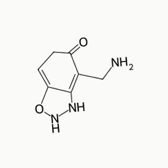 NCC1=C2NNOC2=CCC1=O